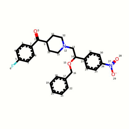 O=C(c1ccc(F)cc1)C1CCN(CC(OCc2ccccc2)c2ccc([N+](=O)[O-])cc2)CC1